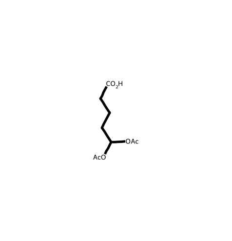 CC(=O)OC(CCCC(=O)O)OC(C)=O